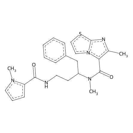 Cc1nc2sccn2c1C(=O)N(C)C(CCNC(=O)c1cccn1C)Cc1ccccc1